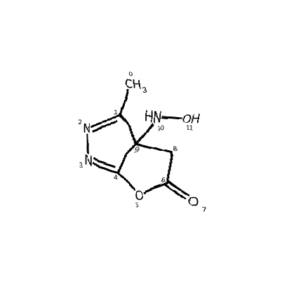 CC1=NN=C2OC(=O)CC12NO